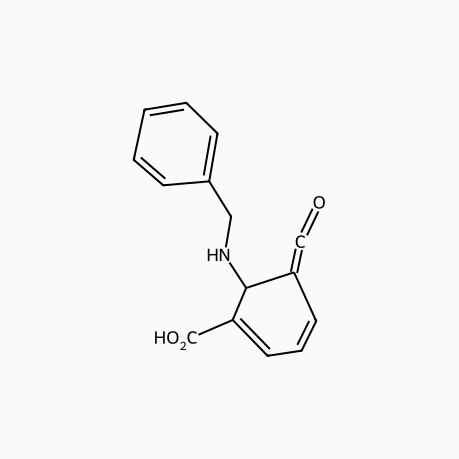 O=C=C1C=CC=C(C(=O)O)C1NCc1ccccc1